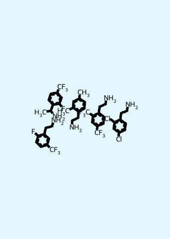 CC(N)c1ccc(C(F)(F)F)cc1F.Cc1ccc(CCN)c(C)c1.NCCc1cc(C(F)(F)F)ccc1F.NCCc1ccc(C(F)(F)F)cc1C(F)(F)F.NCCc1ccc(Cl)cc1Cl